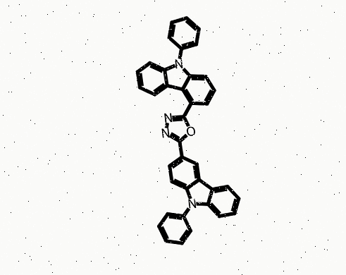 c1ccc(-n2c3ccccc3c3cc(-c4nnc(-c5cccc6c5c5ccccc5n6-c5ccccc5)o4)ccc32)cc1